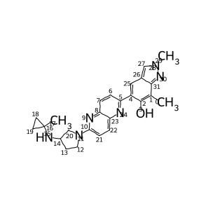 Cc1c(O)c(-c2ccc3nc(N4CCC(NC5(C)CC5)C4)ccc3n2)cc2cn(C)nc12